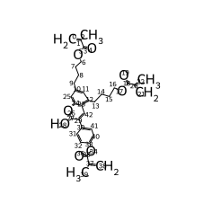 C=C(C)C(=O)OCCCCc1cc(CCCCOC(=O)C(=C)C)c2c(c1)OC(O)C(c1ccc(OC(=O)C(=C)C)cc1)=C2